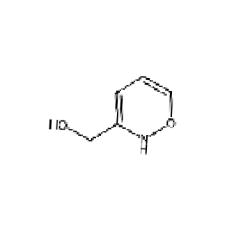 OCC1=CC=CON1